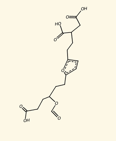 O=COC(CCC(=O)O)CCc1ccc(CCC(CC(=O)O)C(=O)O)o1